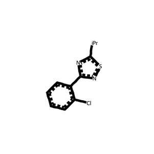 CC(C)c1nc(-c2ccccc2Cl)ns1